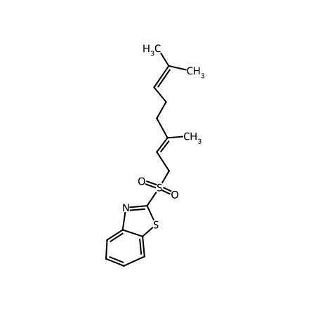 CC(C)=CCC/C(C)=C/CS(=O)(=O)c1nc2ccccc2s1